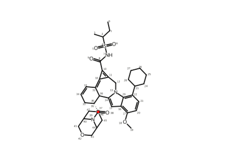 CCC(C)S(=O)(=O)NC(=O)C1=C2Cn3c(cc4c(OC)ccc(C5CCCCC5)c43)C3C(=C21)C=CC[C@H]3C(=O)N1C2COCC1COC2